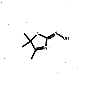 CC1=NC(=NO)SC1(C)C